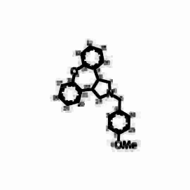 COc1ccc(CN2CC3c4ccccc4Oc4ccccc4C3C2)cc1